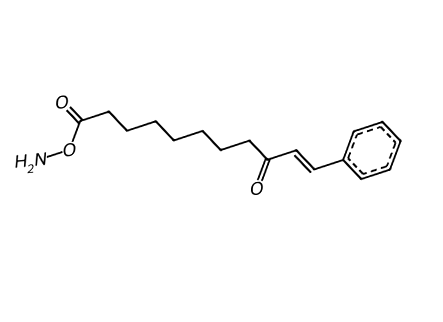 NOC(=O)CCCCCCCC(=O)/C=C/c1ccccc1